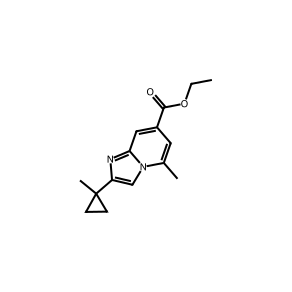 CCOC(=O)c1cc(C)n2cc(C3(C)CC3)nc2c1